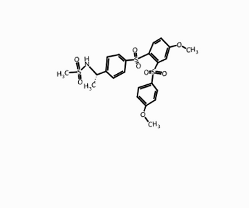 COc1ccc(S(=O)(=O)c2cc(OC)ccc2S(=O)(=O)c2ccc([C@H](C)NS(C)(=O)=O)cc2)cc1